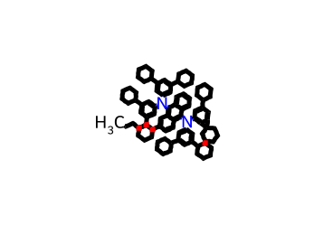 CCCCCCc1ccc2c(N(c3cc(C4CCCCC4)cc(C4CCCCC4)c3)c3cc(C4CCCCC4)cc4c3C43CCCCC3)c3ccccc3c(N(c3cc(C4CCCCC4)cc(C4CCCCC4)c3)c3cc(C4CCCCC4)cc(C4CCCCC4)c3)c2c1